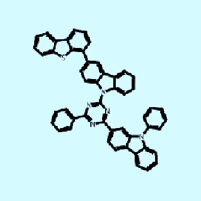 c1ccc(-c2nc(-c3ccc4c5ccccc5n(-c5ccccc5)c4c3)nc(-n3c4ccccc4c4cc(-c5cccc6c5sc5ccccc56)ccc43)n2)cc1